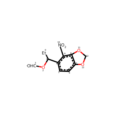 CCC(O[C]=O)c1ccc2c(c1[N+](=O)[O-])OCO2